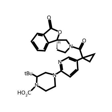 CC(C)(C)C1CN(c2ccc(C3(C(=O)N4CC[C@@]5(C4)OC(=O)c4ccccc45)CC3)cn2)CCN1C(=O)O